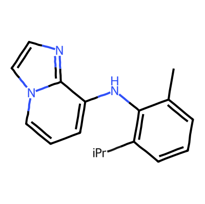 Cc1cccc(C(C)C)c1Nc1cccn2ccnc12